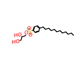 CCCCCCCCCCCCc1ccc(S(=O)(=O)OCC(O)CO)cc1